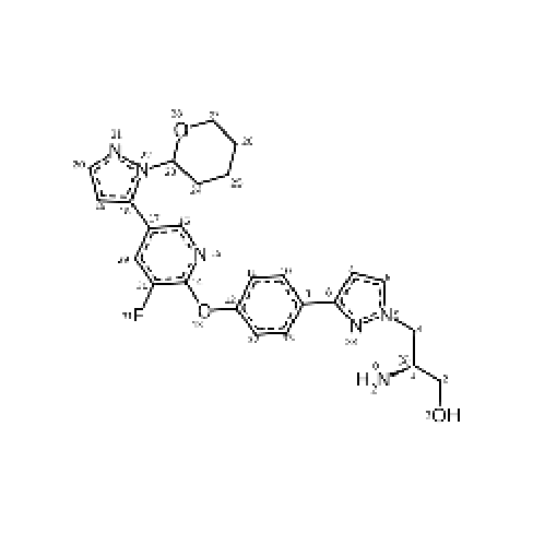 N[C@H](CO)Cn1ccc(-c2ccc(Oc3ncc(-c4ccnn4C4CCCCO4)cc3F)cc2)n1